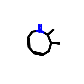 CC1NC/C=C\C=C/C[C@@H]1C